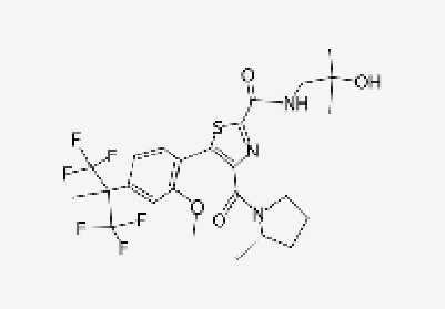 COc1cc(C(C)(C(F)(F)F)C(F)(F)F)ccc1-c1sc(C(=O)NCC(C)(C)O)nc1C(=O)N1CCC[C@@H]1C